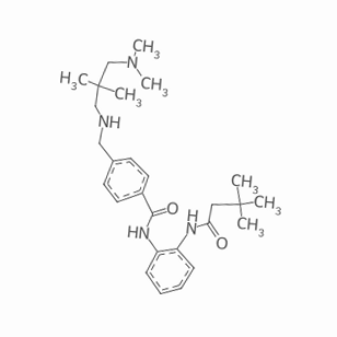 CN(C)CC(C)(C)CNCc1ccc(C(=O)Nc2ccccc2NC(=O)CC(C)(C)C)cc1